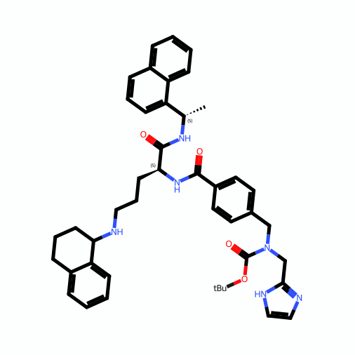 C[C@H](NC(=O)[C@H](CCCNC1CCCc2ccccc21)NC(=O)c1ccc(CN(Cc2ncc[nH]2)C(=O)OC(C)(C)C)cc1)c1cccc2ccccc12